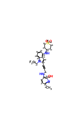 Cc1ccc(NCC#Cc2cc3c(NC4CCS(=O)(=O)CC4)cccc3n2CC(F)(F)F)c(O)n1